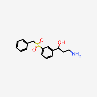 NCCC(O)c1cccc(S(=O)(=O)Cc2ccccc2)c1